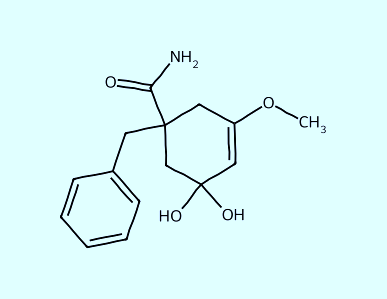 COC1=CC(O)(O)CC(Cc2ccccc2)(C(N)=O)C1